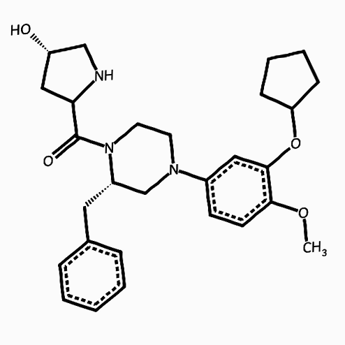 COc1ccc(N2CCN(C(=O)C3C[C@H](O)CN3)[C@@H](Cc3ccccc3)C2)cc1OC1CCCC1